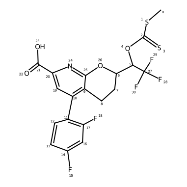 CSC(=S)OC(C1CCc2c(-c3ccc(F)cc3F)cc(C(=O)O)nc2O1)C(F)(F)F